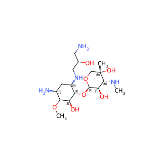 CN[C@@H]1[C@@H](O)[C@@H](O[C@H]2[C@H](NCC(O)CN)C[C@H](N)C(OC)[C@@H]2O)OC[C@]1(C)O